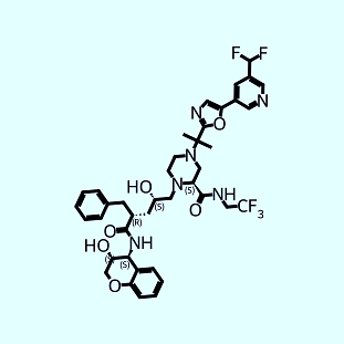 CC(C)(c1ncc(-c2cncc(C(F)F)c2)o1)N1CCN(C[C@@H](O)C[C@@H](Cc2ccccc2)C(=O)N[C@H]2c3ccccc3OC[C@H]2O)[C@H](C(=O)NCC(F)(F)F)C1